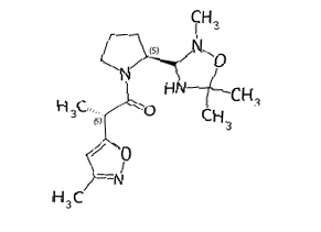 Cc1cc([C@H](C)C(=O)N2CCC[C@H]2C2NC(C)(C)ON2C)on1